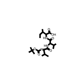 CCC(C)C(NC(=O)C(NC(=O)C(NC(=O)OC(C)(C)C)C(C)C)C(C)C)C(=O)O